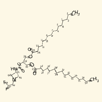 CCCCCCCCCCCCCCCC(=O)OCC(COC(=O)CCCCCCCCCCCCCCC)OC(=O)NC1CN(CC(F)F)C1